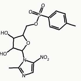 Cc1ccc(S(=O)(=O)OCC2OC(n3c([N+](=O)[O-])cnc3C)C(O)C2O)cc1